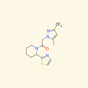 Cc1cc(C(F)(F)F)nn1CC(=O)N1CCCCC1c1nccs1